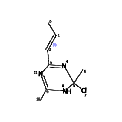 C/C=C/C1=NC(C)(Cl)NC(C)=N1